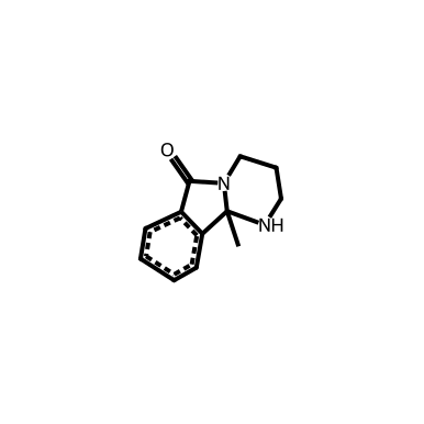 CC12NCCCN1C(=O)c1ccccc12